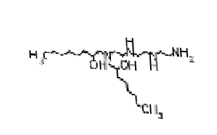 CCCCCCC(O)CN(CCNCCNCCN)CC(O)CCCCCC